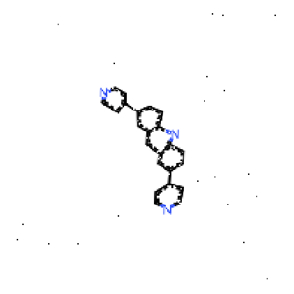 c1cc(-c2ccc3nc4ccc(-c5ccncc5)cc4cc3c2)ccn1